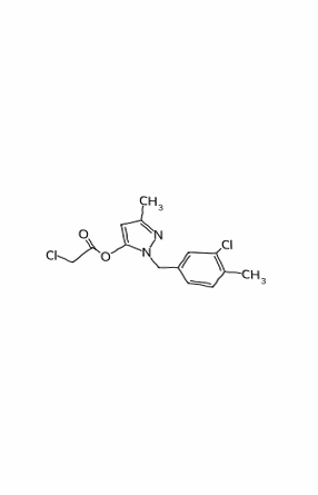 Cc1cc(OC(=O)CCl)n(Cc2ccc(C)c(Cl)c2)n1